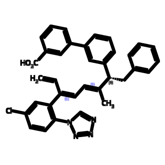 C=C/C(=C\C=C(/C)[C@@H](Cc1ccccc1)c1cccc(-c2cccc(C(=O)O)c2)c1)c1cc(Cl)ccc1-n1cnnn1